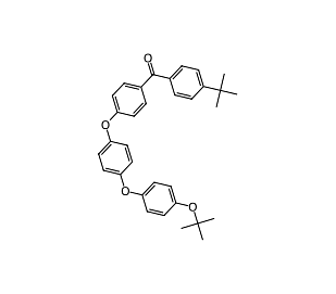 CC(C)(C)Oc1ccc(Oc2ccc(Oc3ccc(C(=O)c4ccc(C(C)(C)C)cc4)cc3)cc2)cc1